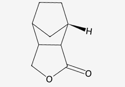 O=C1OCC2C3CC[C@@H](C3)C12